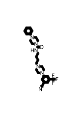 N#Cc1cc(N2CCN(CCCCNC(=O)N3CCN(c4ccccc4)CC3)CC2)cc(C(F)(F)F)c1